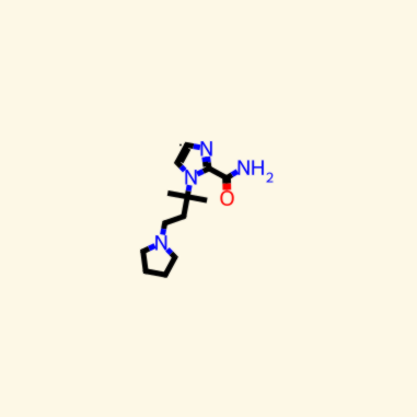 CC(C)(CCN1CCCC1)n1c[c]nc1C(N)=O